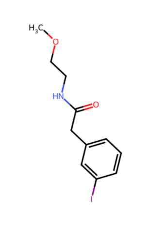 COCCNC(=O)Cc1cccc(I)c1